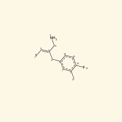 Cc1cc(C/C(=C\F)CN)ccc1F